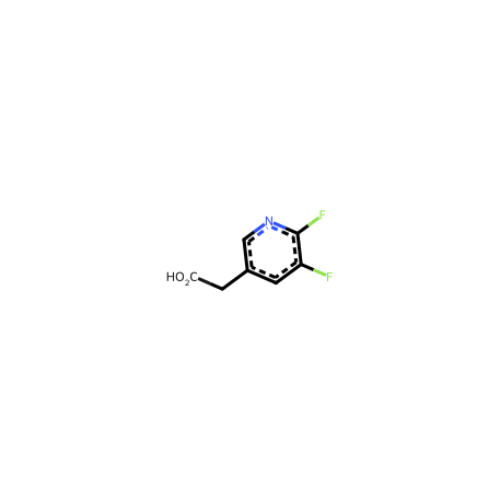 O=C(O)Cc1cnc(F)c(F)c1